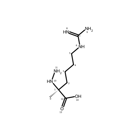 C[C@@](CCCCNC(=N)N)(NN)C(=O)O